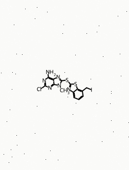 Cn1c(Sc2nc3cccc(CI)c3s2)nc2c(N)nc(Cl)nc21